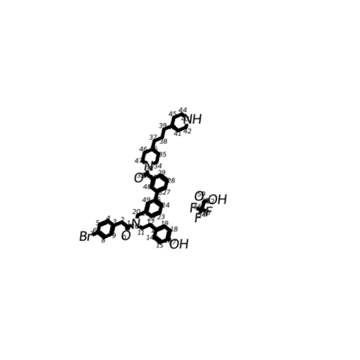 O=C(Cc1ccc(Br)cc1)N(CCc1ccc(O)cc1)Cc1cccc(-c2cccc(C(=O)N3CCC(CCCC4CCNCC4)CC3)c2)c1.O=C(O)C(F)(F)F